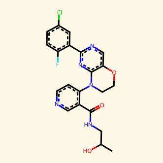 CC(O)CNC(=O)c1cnccc1N1CCOc2cnc(-c3cc(Cl)ccc3F)nc21